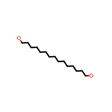 [O]CCCCCCCCCCCCCCC[O]